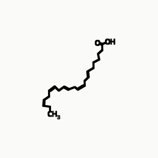 CC/C=C\C/C=C\C/C=C/C/C=C\C/C=C/CCCCCC(=O)O